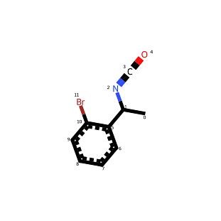 CC(N=C=O)c1ccccc1Br